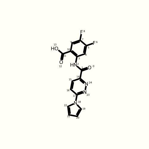 O=C(Nc1cc(F)c(F)cc1C(=O)O)c1ccc(-n2cccc2)nn1